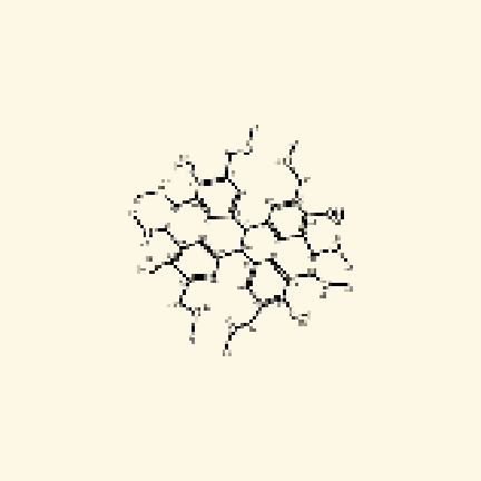 COCc1cc(C(c2cc(COC)c(O)c(COC)c2)C(c2cc(COC)c(O)c(COC)c2)c2cc(COC)c(O)c(COC)c2)cc(COC)c1O